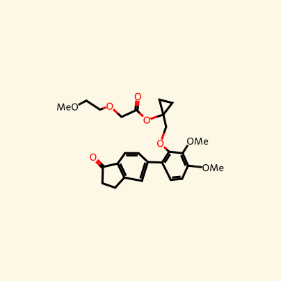 COCCOCC(=O)OC1(COc2c(-c3ccc4c(c3)CCC4=O)ccc(OC)c2OC)CC1